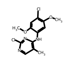 COc1cc(Nc2nc(Cl)ncc2C)c(OC)cc1Cl